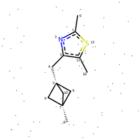 Cc1nc(C[C@]23C[C@](C)(C2)C3)c(C)s1